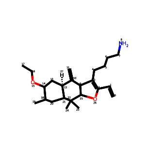 C=CC1=C(CCCCN)C2C(=C)[C@@H]3CC(OCC)C(C)CC3C(C)(C)C2O1